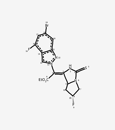 CCOC(=O)C(=C1NC(=S)N2C[C@H](F)CC12)n1cc2c(F)cc(Br)cc2n1